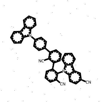 N#Cc1ccc2c(c1)c1ccccc1n2-c1c(C#N)cccc1-c1cccc(-c2ccc(-n3c4ccccc4c4ccccc43)cc2)c1C#N